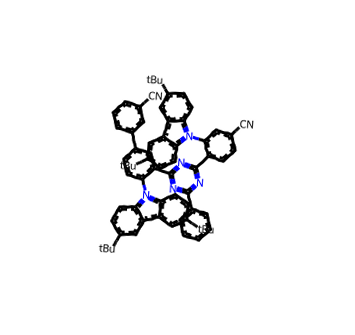 CC(C)(C)c1ccc2c(c1)c1cc(C(C)(C)C)ccc1n2-c1ccc(-c2cccc(C#N)c2)cc1-c1nc(-c2ccccc2)nc(-c2ccc(C#N)cc2-n2c3ccc(C(C)(C)C)cc3c3cc(C(C)(C)C)ccc32)n1